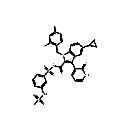 CS(=O)(=O)Nc1cccc(S(=O)(=O)NC(=O)c2c(-c3ccc[nH]c3=O)c3cc(C4CC4)ccc3n2Cc2ccc(F)cc2F)c1